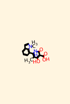 Cc1c(-c2cccc3ccn(C)c23)[nH]c(=O)c(C(=O)O)c1O